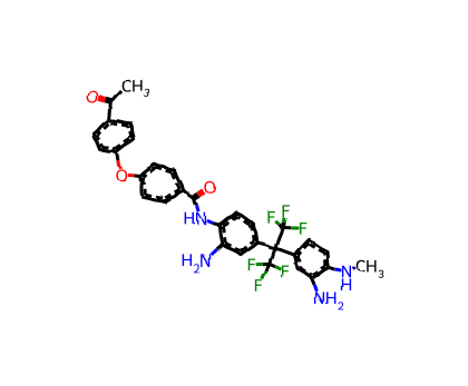 CNc1ccc(C(c2ccc(NC(=O)c3ccc(Oc4ccc(C(C)=O)cc4)cc3)c(N)c2)(C(F)(F)F)C(F)(F)F)cc1N